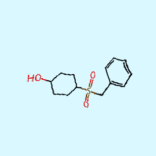 O=S(=O)(Cc1ccccc1)C1CCC(O)CC1